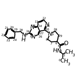 CC(C)NC(=O)C1CCN(c2nccc3nc(NCc4ccccc4)ncc23)CC1